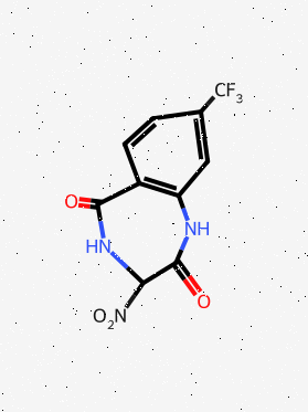 O=C1NC([N+](=O)[O-])C(=O)Nc2cc(C(F)(F)F)ccc21